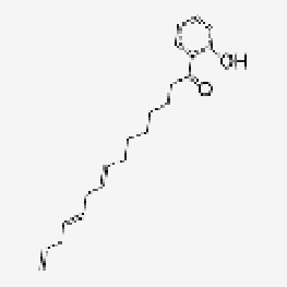 C=CCC=CCC=CCCCCCCC(=O)c1ccccc1O